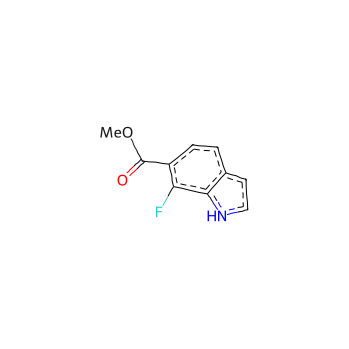 COC(=O)c1ccc2cc[nH]c2c1F